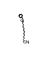 N#CSCCCCCCCCCCCOCc1ccccc1